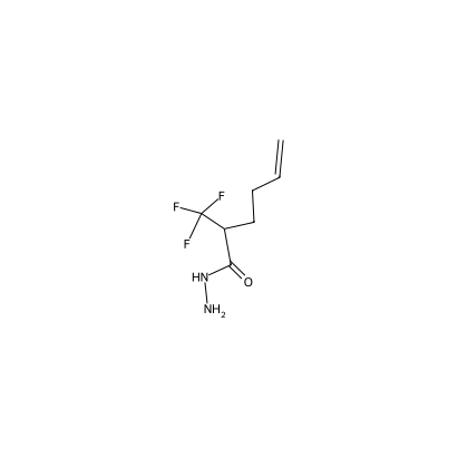 C=CCCC(C(=O)NN)C(F)(F)F